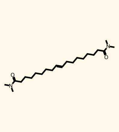 CN(C)C(=O)CCCCCCC/C=C/CCCCCCCC(=O)N(C)C